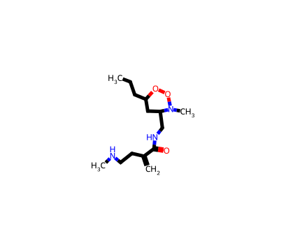 C=C(CCNC)C(=O)NCC1CC(CCC)OON1C